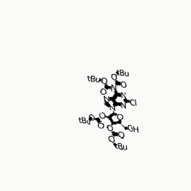 CC(C)(C)OC(=O)O[C@@H]1[C@H](OC(=O)OC(C)(C)C)[C@@H](CO)O[C@H]1n1cnc2c(N(C(=O)OC(C)(C)C)C(=O)OC(C)(C)C)nc(Cl)nc21